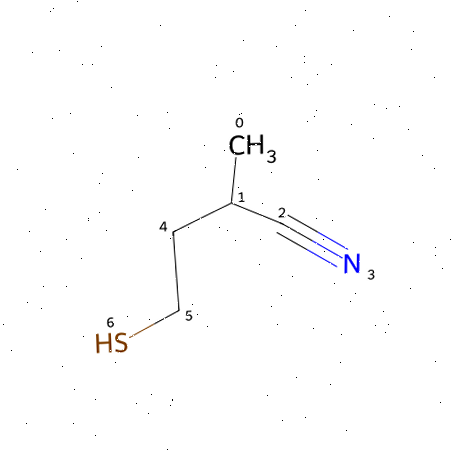 CC(C#N)CCS